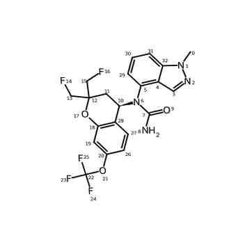 Cn1ncc2c(N(C(N)=O)[C@@H]3CC(CF)(CF)Oc4cc(OC(F)(F)F)ccc43)cccc21